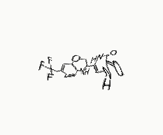 O=c1[nH]cc(C2COc3cc(C(F)(F)F)ccc3N2)[nH]c1=O